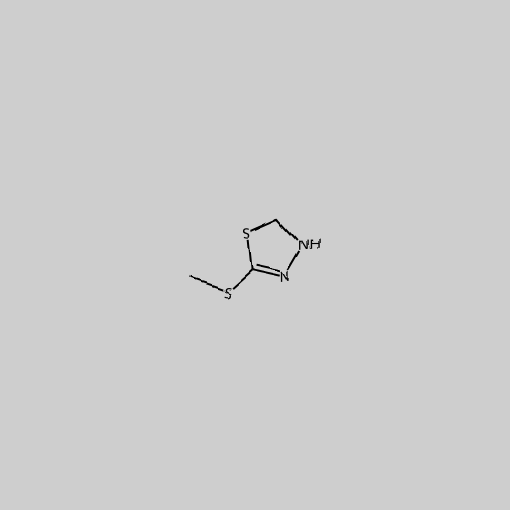 CSC1=NNCS1